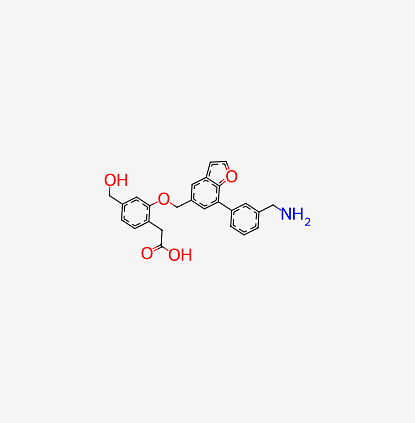 NCc1cccc(-c2cc(COc3cc(CO)ccc3CC(=O)O)cc3ccoc23)c1